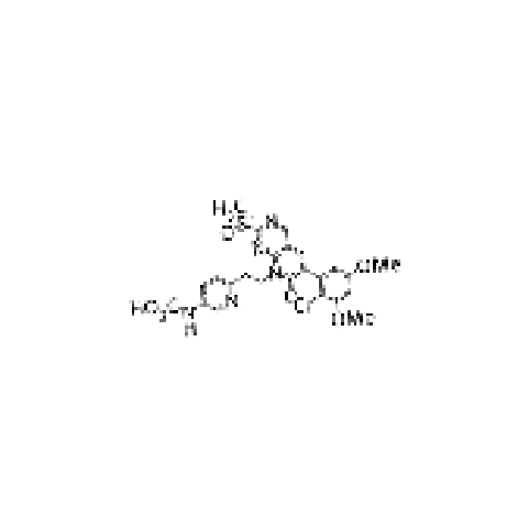 COc1cc(OC)c(Cl)c(-c2cc3cnc([S+](C)[O-])nc3n(CCc3ccc(NC(=O)O)cn3)c2=O)c1